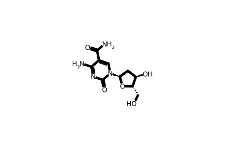 NC(=O)c1cn([C@H]2C[C@@H](O)[C@H](CO)O2)c(=O)nc1N